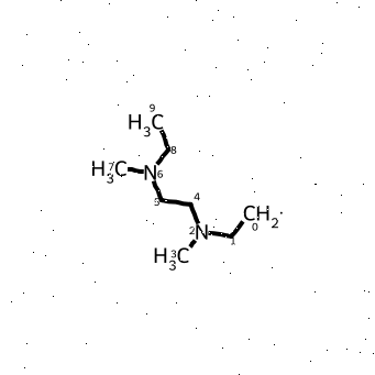 [CH2]CN(C)CCN(C)CC